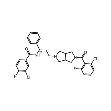 O=C(N[C@@H](CCN1CC2CN(C(=O)c3c(F)cccc3Cl)CC2C1)c1ccccc1)c1ccc(F)c(Cl)c1